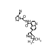 CC1(C)Cc2c(-c3ccc4nccc(C(=O)NCC(=O)N5CSC[C@H]5C#N)c4c3)cnn2C1